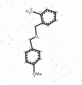 COc1ccc(COCc2c[c]ccc2C)cc1